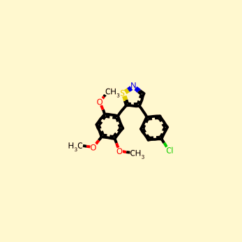 COc1cc(OC)c(-c2sncc2-c2ccc(Cl)cc2)cc1OC